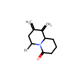 C=C1CC(CC)N2C(=O)CCCC2C1=C